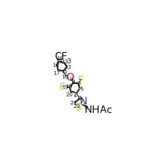 CC(=O)Nc1nc(-c2cc(F)c(OCc3ccc(C(F)(F)F)cc3)c(F)c2)cs1